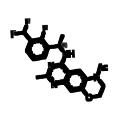 CC(=O)N1CCOc2cc3nc(C)nc(N[C@H](C)c4cccc(C(F)F)c4F)c3cc21